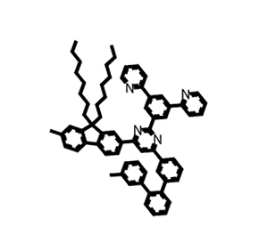 CCCCCCCCC1(CCCCCCCC)c2cc(C)ccc2-c2ccc(-c3cc(-c4cccc(-c5ccccc5-c5cccc(C)c5)c4)nc(-c4cc(-c5ccccn5)cc(-c5ccccn5)c4)n3)cc21